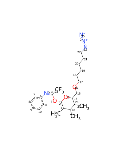 CC1[C@H](O/C(=N\c2ccccc2)C(F)(F)F)OC(COCCCCCCN=[N+]=[N-])[C@H](C)[C@@H]1C